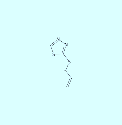 C=C[CH]Sc1nncs1